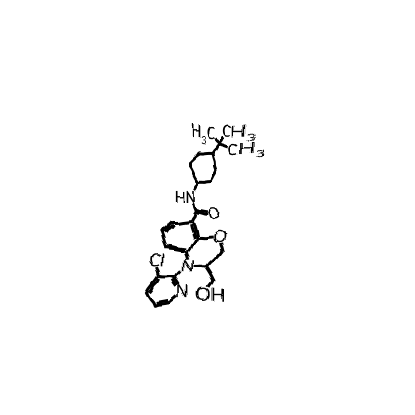 CC(C)(C)C1CCC(NC(=O)c2cccc3c2OCC(CO)N3c2ncccc2Cl)CC1